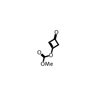 COC(=O)OC1=CC(=O)C1